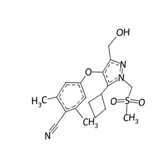 Cc1cc(Oc2c(CO)nn(CS(C)(=O)=O)c2C2CCC2)cc(C)c1C#N